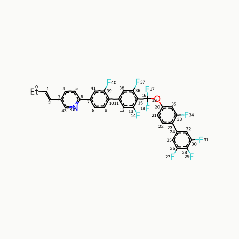 CCC=Cc1ccc(-c2ccc(-c3cc(F)c(C(F)(F)Oc4ccc(-c5cc(F)c(F)c(F)c5)c(F)c4)c(F)c3)c(F)c2)nc1